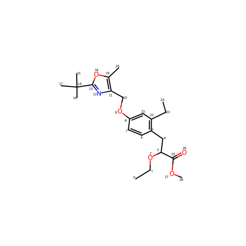 CCOC(Cc1ccc(OCc2nc(C(C)(C)C)oc2C)cc1CC)C(=O)OC